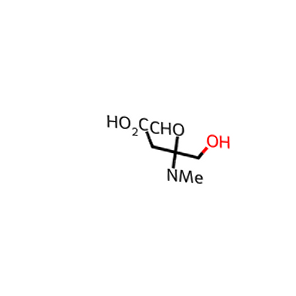 CNC(C=O)(CO)CC(=O)O